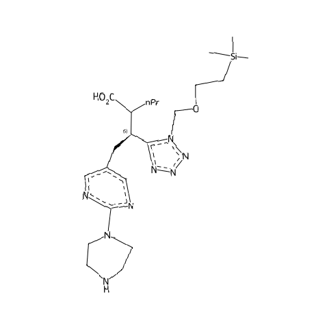 CCCC(C(=O)O)[C@H](Cc1cnc(N2CCNCC2)nc1)c1nnnn1COCC[Si](C)(C)C